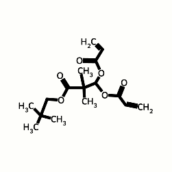 C=CC(=O)OC(OC(=O)C=C)C(C)(C)C(=O)OCC(C)(C)C